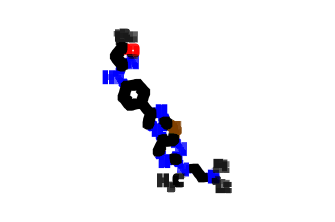 CCN(CC)CCN(C)c1ncc2c(n1)sc1nc(-c3ccc(Nc4cc(C(C)(C)C)on4)cc3)cn12